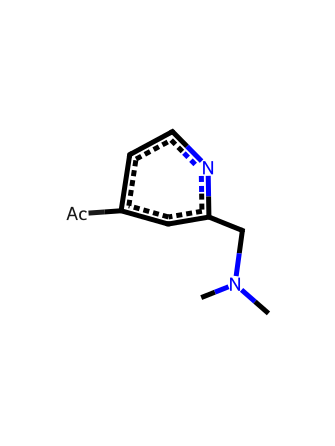 CC(=O)c1ccnc(CN(C)C)c1